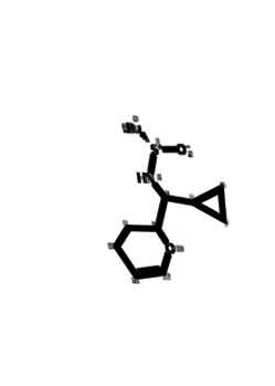 CC(C)(C)[S@+]([O-])NC(C1CC1)C1CCC=CO1